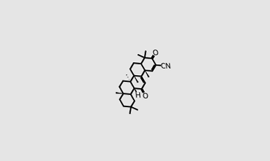 CC1(C)CC[C@]2(C)CC[C@]3(C)[C@H](C(=O)C=C4[C@@]5(C)C=C(C#N)C(=O)C(C)(C)C5CC[C@]43C)C2C1